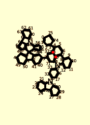 c1ccc(-c2ccc(-c3ccccc3N(c3ccc(-n4c5ccccc5c5ccccc54)cc3)c3cccc(-c4ccc5c(c4)C4(c6ccccc6-5)c5ccccc5-n5c6ccccc6c6cccc4c65)c3)cc2)cc1